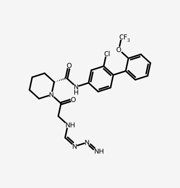 N=N/N=C\NCC(=O)N1CCCC[C@@H]1C(=O)Nc1ccc(-c2ccccc2OC(F)(F)F)c(Cl)c1